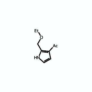 CCOCc1[nH]ccc1C(C)=O